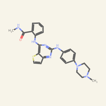 CNC(=O)c1ccccc1Nc1nc(Nc2ccc(N3CCN(C)CC3)cc2)nc2ccsc12